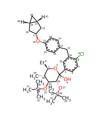 CC[C@H]1OC(O)(c2ccc(Cl)c(Cc3ccc(O[C@H]4C[C@@H]5C[C@@H]5C4)cc3)c2)[C@H](O[Si](C)(C)C)[C@@H](O[Si](C)(C)C)[C@@H]1C